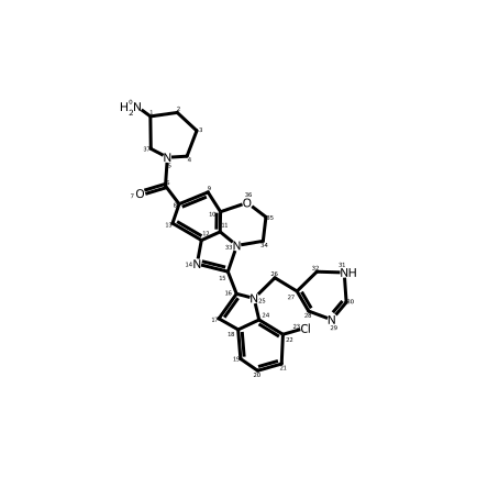 NC1CCCN(C(=O)c2cc3c4c(c2)nc(-c2cc5cccc(Cl)c5n2CC2=CN=CNC2)n4CCO3)C1